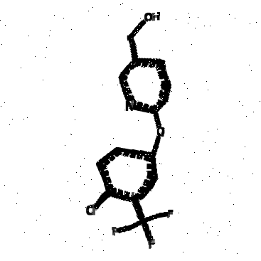 OCc1ccc(Oc2ccc(Cl)c(C(F)(F)F)c2)nc1